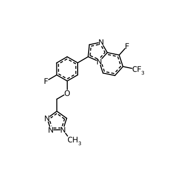 Cn1cc(COc2cc(-c3cnc4c(F)c(C(F)(F)F)ccn34)ccc2F)nn1